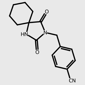 N#Cc1ccc(CN2C(=O)NC3(CCCCC3)C2=O)cc1